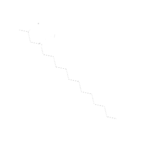 CCCCCCCCCCCCN(O)CC(O)O